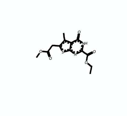 CCOC(=O)c1nc2sc(CC(=O)OC)c(C)c2c(=O)[nH]1